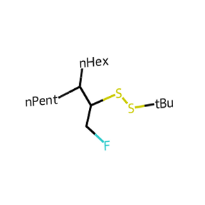 CCCCCCC(CCCCC)C(CF)SSC(C)(C)C